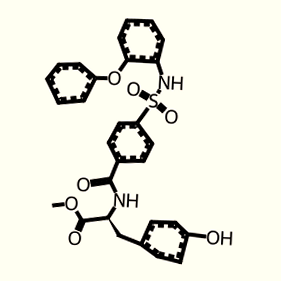 COC(=O)[C@H](Cc1ccc(O)cc1)NC(=O)c1ccc(S(=O)(=O)Nc2ccccc2Oc2ccccc2)cc1